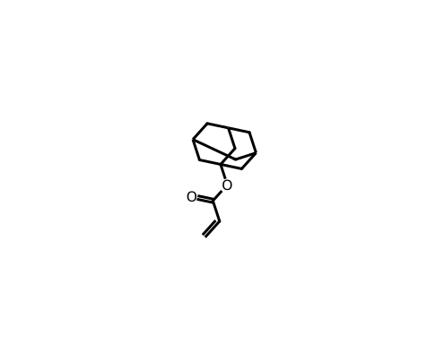 C=CC(=O)OC12CC3CC(CC(C3)C1)C2